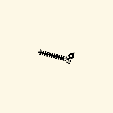 CCC(C)(C)C(C)(C)C(C)(C)C(C)(C)C(C)(C)C(C)(C)C(C)(C)C(C)(C)C(C)(C)C(C)(C)C(C)(C)[Si](C)(C)C(c1ccc(C)cc1)[Si](C)(C)C